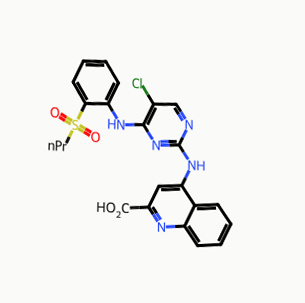 CCCS(=O)(=O)c1ccccc1Nc1nc(Nc2cc(C(=O)O)nc3ccccc23)ncc1Cl